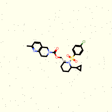 Cc1ccc2c(n1)CCN(C(=O)OC[C@H]1CCCC(C3CC3)N1S(=O)(=O)c1ccc(Cl)cc1)C2